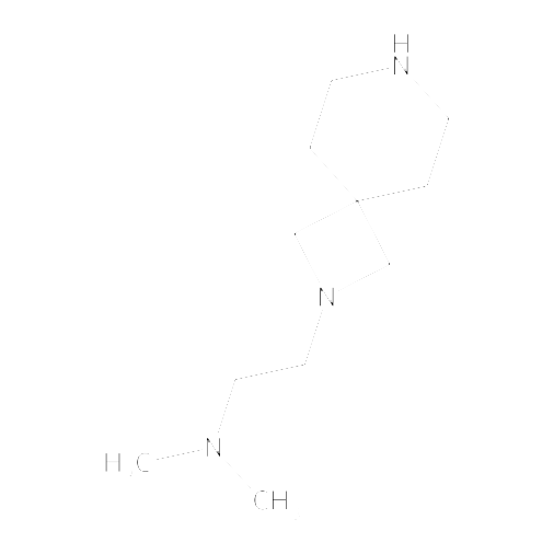 CN(C)CCN1CC2(CCNCC2)C1